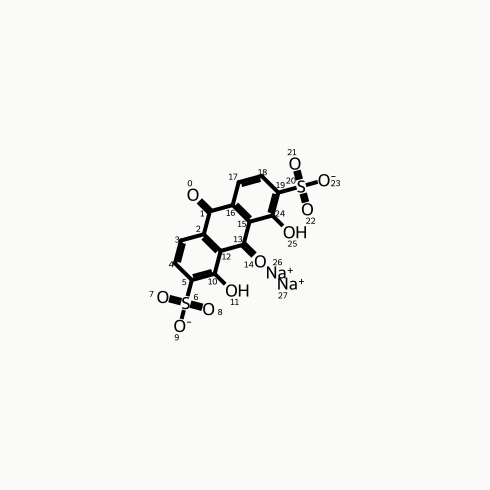 O=C1c2ccc(S(=O)(=O)[O-])c(O)c2C(=O)c2c1ccc(S(=O)(=O)[O-])c2O.[Na+].[Na+]